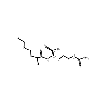 CCCCCC(C)C(=O)N[C@@H](CCCNC(=N)N)C(N)=O